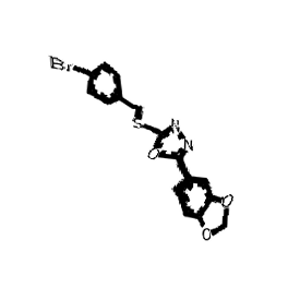 Brc1ccc(CSc2nnc(-c3ccc4c(c3)OCO4)o2)cc1